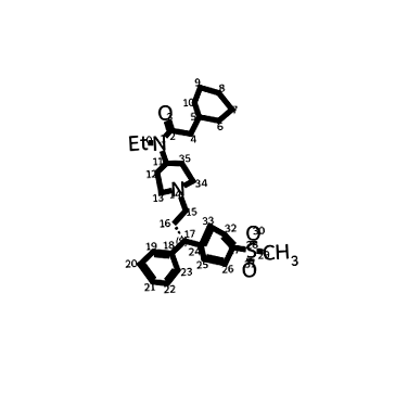 CCN(C(=O)CC1CCCCC1)C1CCN(CC[C@@H](c2ccccc2)c2ccc(S(C)(=O)=O)cc2)CC1